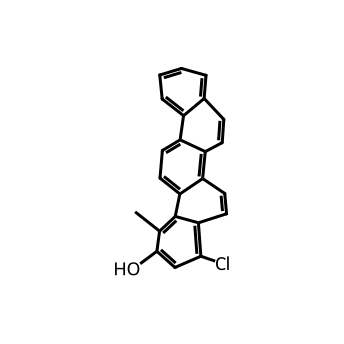 Cc1c(O)cc(Cl)c2ccc3c4ccc5ccccc5c4ccc3c12